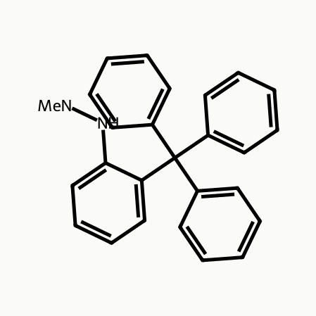 CNNc1ccccc1C(c1ccccc1)(c1ccccc1)c1ccccc1